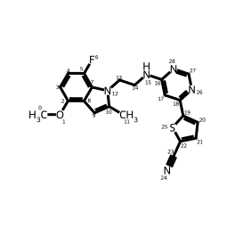 COc1ccc(F)c2c1cc(C)n2CCNc1cc(-c2ccc(C#N)s2)ncn1